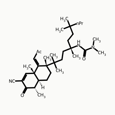 CCCC(C)(C)CC[C@@](C)(CCC(C)(C)[C@]1(C)CC[C@H]2[C@H](C)C(=O)C(C#N)=C[C@]2(C)/C1=C/C(C)=O)NC(=O)N(C)C